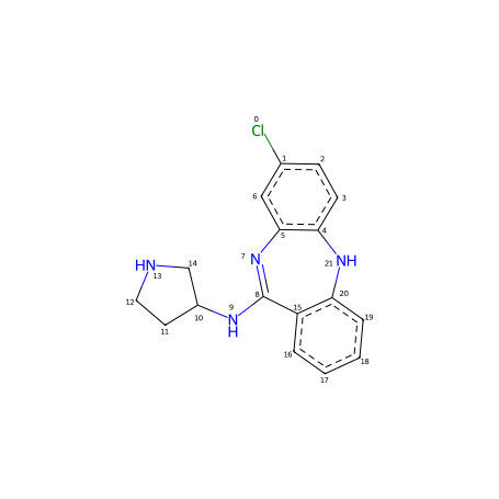 Clc1ccc2c(c1)N=C(NC1CCNC1)c1ccccc1N2